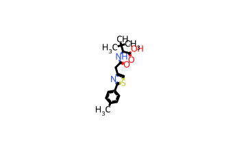 Cc1ccc(-c2nc(CC(=O)NC(C(=O)O)C(C)(C)C)cs2)cc1